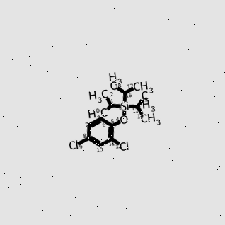 CC(C)[Si](Oc1ccc(Cl)cc1Cl)(C(C)C)C(C)C